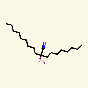 CCCCCCCCCC(P)(C#N)CCCCCCCC